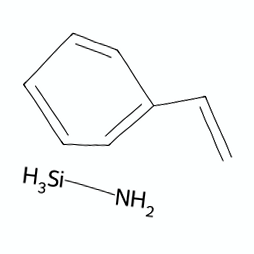 C=Cc1ccccc1.N[SiH3]